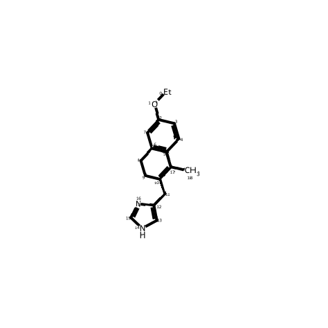 CCOc1ccc2c(c1)CCC(Cc1c[nH]cn1)=C2C